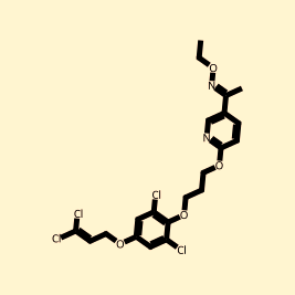 CCON=C(C)c1ccc(OCCCOc2c(Cl)cc(OCC=C(Cl)Cl)cc2Cl)nc1